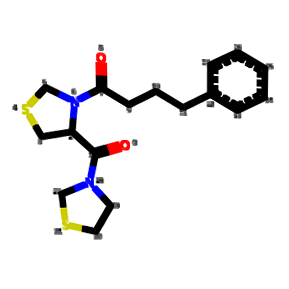 O=C(C1CSCN1C(=O)CCCc1ccccc1)N1CCSC1